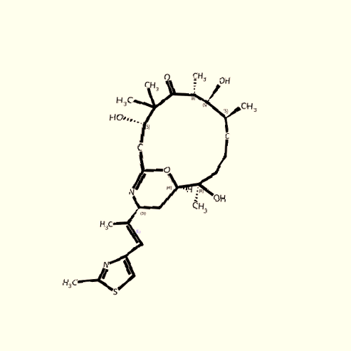 C/C(=C\c1csc(C)n1)[C@@H]1C[C@H]2OC(=N1)C[C@H](O)C(C)(C)C(=O)[C@H](C)[C@@H](O)[C@@H](C)CCC[C@@]2(C)O